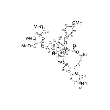 CC[C@H]1CCC[C@H](O[C@H]2CC[C@H](N(C)C)C(C)O2)[C@@H](C)C(=O)C2=C[C@H]3[C@@H]4C[C@H](OC(OC(C)[C@@H](C)OC)[C@H](COC)OC)C[C@H]4c4sc(-c5ccc(OC)cc5)nc4[C@H]3[C@@H]2CC(=O)O1